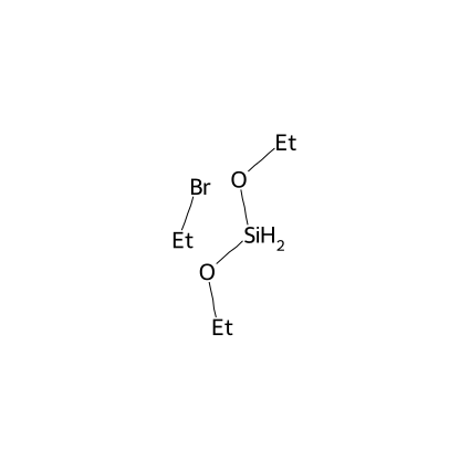 CCBr.CCO[SiH2]OCC